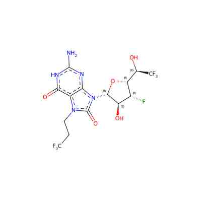 Nc1nc2c(c(=O)[nH]1)n(CCC(F)(F)F)c(=O)n2[C@@H]1O[C@H]([C@@H](O)C(F)(F)F)[C@H](F)[C@H]1O